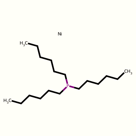 CCCCCCP(CCCCCC)CCCCCC.[Ni]